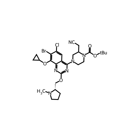 CN1CCC[C@H]1COc1nc(N2CCN(C(=O)OC(C)(C)C)C(CC#N)C2)c2cc(Cl)c(Br)c(OC3CC3)c2n1